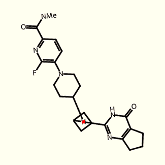 CNC(=O)c1ccc(N2CCC(N3CC4(c5nc6c(c(=O)[nH]5)CCC6)CC3C4)CC2)c(F)n1